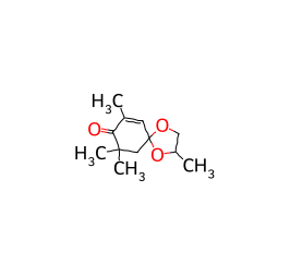 CC1=CC2(CC(C)(C)C1=O)OCC(C)O2